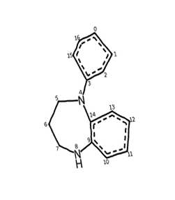 c1ccc(N2CCCNc3ccccc32)cc1